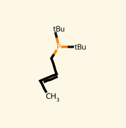 C/C=C/CP(C(C)(C)C)C(C)(C)C